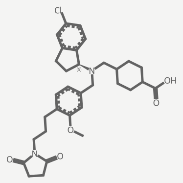 COc1cc(CN(CC2CCC(C(=O)O)CC2)[C@H]2CCc3cc(Cl)ccc32)ccc1CCCN1C(=O)CCC1=O